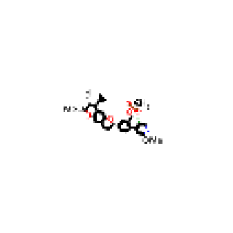 COC(=O)C(C)C(c1ccc2c(c1)O[C@H](c1ccc(-c3cc(OC)ncc3F)c(COS(C)(=O)=O)c1)CC2)C1CC1